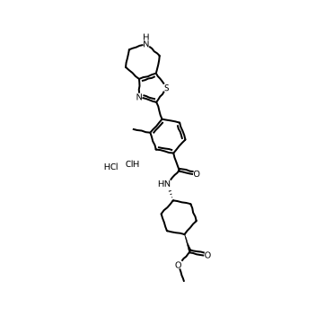 COC(=O)[C@H]1CC[C@H](NC(=O)c2ccc(-c3nc4c(s3)CNCC4)c(C)c2)CC1.Cl.Cl